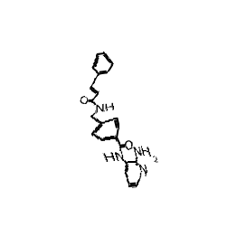 Nc1ncccc1NC(=O)c1ccc(CNC(=O)C=Cc2ccccc2)cc1